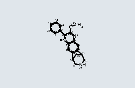 COc1nc2cc3c(cc2nc1-c1ccccc1)C1CNCC3C1